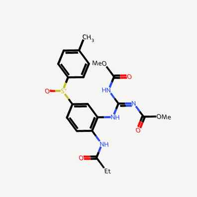 CCC(=O)Nc1ccc([S+]([O-])c2ccc(C)cc2)cc1NC(=NC(=O)OC)NC(=O)OC